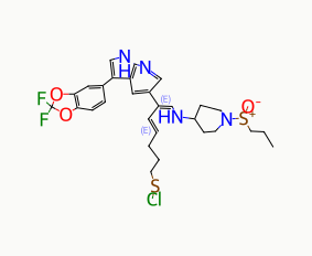 CCC[S+]([O-])N1CCC(N/C=C(\C=C\CCCSCl)c2cnc3[nH]cc(-c4ccc5c(c4)OC(F)(F)O5)c3c2)CC1